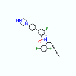 CC#CC#CCC(c1cc(F)ccc1F)N1Cc2c(F)cc(-c3ccc(N4CCNCC4)cc3)cc2C1=O